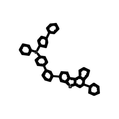 c1ccc(-c2ccc(N(c3ccccc3)c3ccc(-c4cccc(-c5ccc6c(c5)oc5cc(-c7ccccc7)c7ccccc7c56)c4)cc3)cc2)cc1